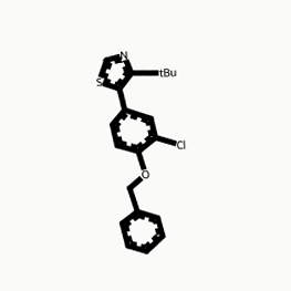 CC(C)(C)c1n[c]sc1-c1ccc(OCc2ccccc2)c(Cl)c1